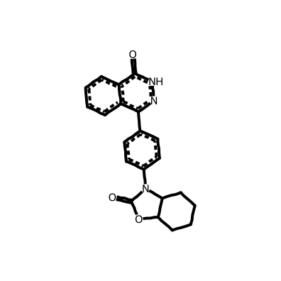 O=C1OC2CCCCC2N1c1ccc(-c2n[nH]c(=O)c3ccccc23)cc1